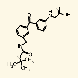 CC(C)(C)OC(=O)NCc1cccc(C(=O)c2cccc(NCC(=O)O)c2)c1